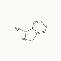 NC1NSc2ccccc21